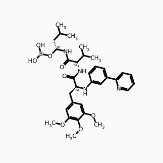 COc1cc(C[C@H](Nc2cccc(-c3ccccn3)c2)C(=O)N[C@H](C(=O)N[C@@H](CC(C)C)OB(O)O)C(C)C)cc(OC)c1OC